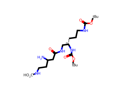 CC(C)(C)OC(=O)NCCC[C@@H](CNC(=O)CC(N)CCNC(=O)O)NC(=O)OC(C)(C)C